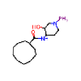 O=C(NC1CCN(P)CC1O)C1CCCCCCCCC1